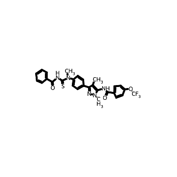 Cc1c(-c2ccc(N(C)C(=S)NC(=O)c3ccccc3)cc2)nn(C)c1NC(=O)c1ccc(OC(F)(F)F)cc1